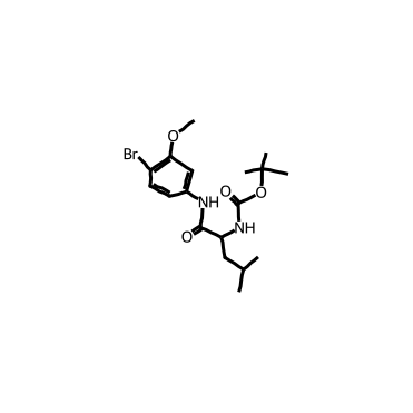 COc1cc(NC(=O)C(CC(C)C)NC(=O)OC(C)(C)C)ccc1Br